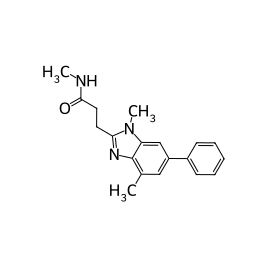 CNC(=O)CCc1nc2c(C)cc(-c3ccccc3)cc2n1C